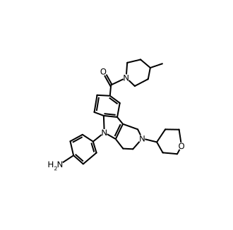 CC1CCN(C(=O)c2ccc3c(c2)c2c(n3-c3ccc(N)cc3)CCN(C3CCOCC3)C2)CC1